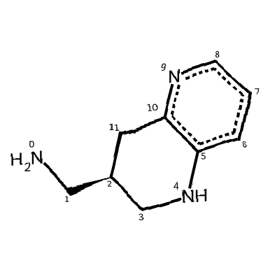 NC[C@@H]1CNc2cccnc2C1